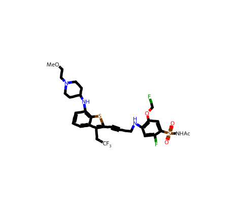 COCCN1CCC(Nc2cccc3c(CC(F)(F)F)c(C#CCNc4cc(F)c(S(=O)(=O)NC(C)=O)cc4OCF)sc23)CC1